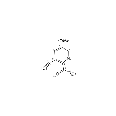 C#Cc1cc(OC)cnc1C(N)=O